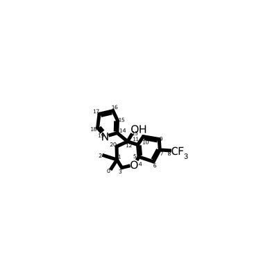 CC1(C)COc2cc(C(F)(F)F)ccc2C(O)(c2ccccn2)C1